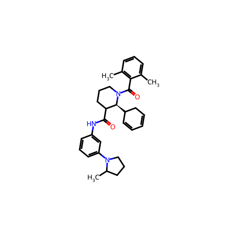 Cc1cccc(C)c1C(=O)N1CCCC(C(=O)Nc2cccc(N3CCCC3C)c2)[C@@H]1C1C=CC=CC1